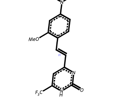 CCN(CC)c1ccc(/C=C/c2cc(C(F)(F)F)[nH]c(=O)n2)c(OC)c1